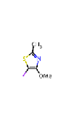 COc1nc(C)sc1I